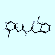 COc1ccccc1CC(=O)OC(=O)Cc1ccccc1C